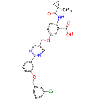 CC1(C(=O)Nc2ccc(OCc3cnc(-c4cccc(OCc5cccc(Cl)c5)c4)nc3)cc2C(=O)O)CC1